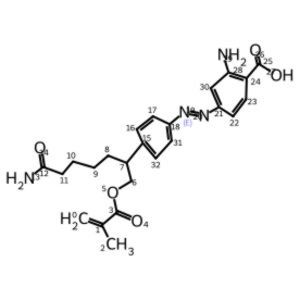 C=C(C)C(=O)OCC(CCCCC(N)=O)c1ccc(/N=N/c2ccc(C(=O)O)c(N)c2)cc1